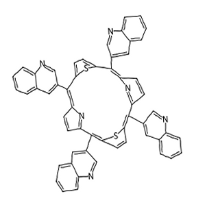 C1=Cc2nc1c(-c1cnc3ccccc3c1)c1ccc(s1)c(-c1cnc3ccccc3c1)c1nc(c(-c3cnc4ccccc4c3)c3ccc(s3)c2-c2cnc3ccccc3c2)C=C1